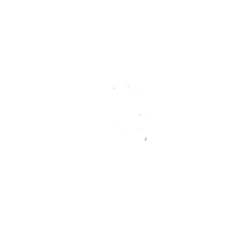 CC12CCNC1=Nc1cnccc1C2=O